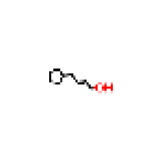 OCC=CCC1CCCC1